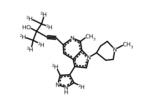 [2H]c1n[nH]c([2H])c1-c1cn(C2CCN(C)CC2)c2c(C)nc(C#CC(O)(C([2H])([2H])[2H])C([2H])([2H])[2H])cc12